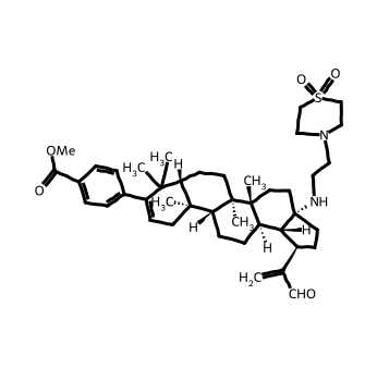 C=C(C=O)[C@@H]1CC[C@]2(NCCN3CCS(=O)(=O)CC3)CC[C@]3(C)[C@H](CC[C@@H]4[C@@]5(C)CC=C(c6ccc(C(=O)OC)cc6)C(C)(C)[C@@H]5CC[C@]43C)[C@@H]12